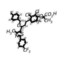 Cc1nc(-c2ccc(C(F)(F)F)cc2)sc1C(CCc1ccc(OC(C)(C)C(=O)O)c(Cl)c1Cl)OCc1ccc(I)cc1